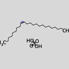 CCCCCCCC/C=C\CCCCCCCCCCCCC.O=S(=O)(O)O